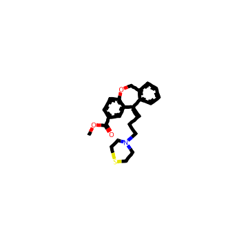 COC(=O)c1ccc2c(c1)C(=CCCN1CCSCC1)c1ccccc1CO2